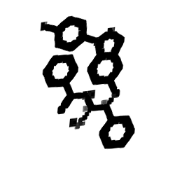 C[C@H](NC(=O)c1ccccc1)[C@H](Oc1ccc2c(cnn2-c2ccc(F)cc2)c1)c1ccccc1